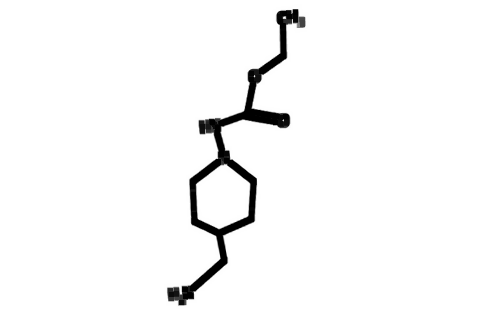 CCOC(=O)NN1CCC(CN)CC1